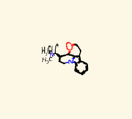 CCC12OCCc3c1n(c1ccccc31)CCC2CN(C)C